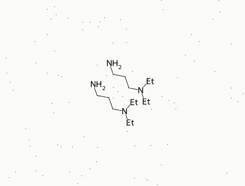 CCN(CC)CCCN.CCN(CC)CCCN